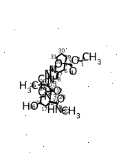 CCOC(=O)C1(Cc2cn(C(C(=O)N3CC(O)CC3C(=O)NC)C(C)(C)C)nn2)CCCO1